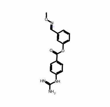 CO/N=C/c1cccc(OC(=O)c2ccc(NC(=N)N)cc2)c1